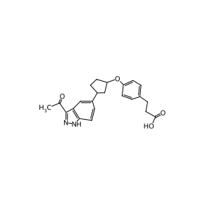 CC(=O)c1n[nH]c2ccc(C3CCC(Oc4ccc(CCC(=O)O)cc4)C3)cc12